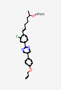 C=CCOc1ccc(-c2cnc(-c3ccc(/C=C/CCCC(C)OCCCCC)c(F)c3)nc2)cc1